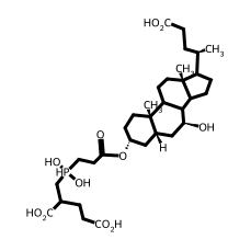 C[C@H](CCC(=O)O)C1CCC2C3C(CC[C@@]21C)[C@@]1(C)CC[C@@H](OC(=O)CC[PH](O)(O)CC(CCC(=O)O)C(=O)O)C[C@H]1C[C@@H]3O